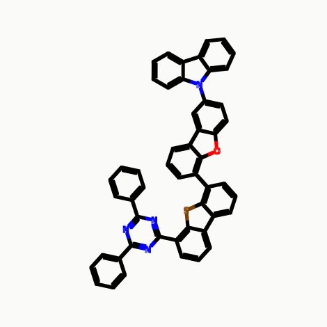 c1ccc(-c2nc(-c3ccccc3)nc(-c3cccc4c3sc3c(-c5cccc6c5oc5ccc(-n7c8ccccc8c8ccccc87)cc56)cccc34)n2)cc1